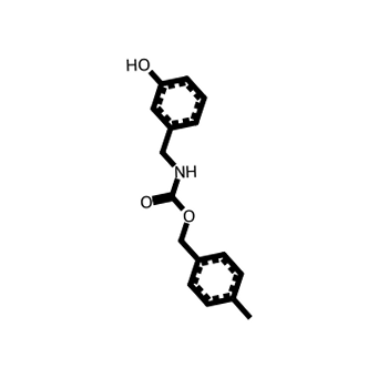 Cc1ccc(COC(=O)NCc2cccc(O)c2)cc1